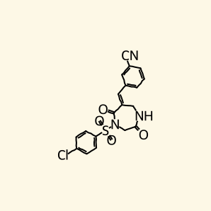 N#Cc1cccc(/C=C2\CNC(=O)CN(S(=O)(=O)c3ccc(Cl)cc3)C2=O)c1